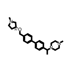 CC(c1ccc(-c2ccc(CO[C@@H]3CCN(C)C3)cc2)cc1)N1CCN(C)CC1